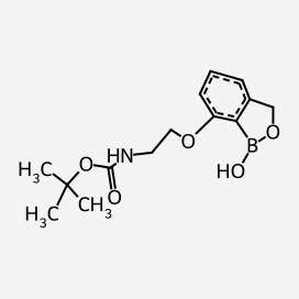 CC(C)(C)OC(=O)NCCOc1cccc2c1B(O)OC2